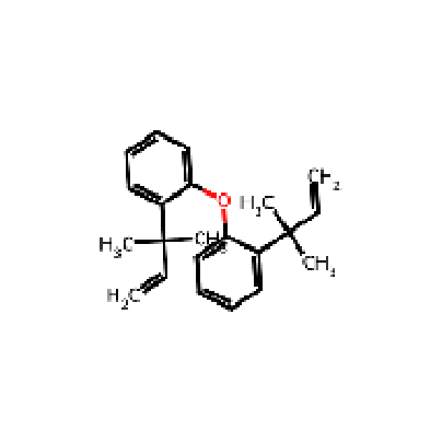 C=CC(C)(C)c1ccccc1Oc1ccccc1C(C)(C)C=C